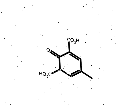 CC1=CC(C(=O)O)C(=O)C(C(=O)O)=C1